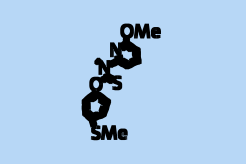 COc1cccc(N(C)C(=S)Oc2ccc(SC)cc2)n1